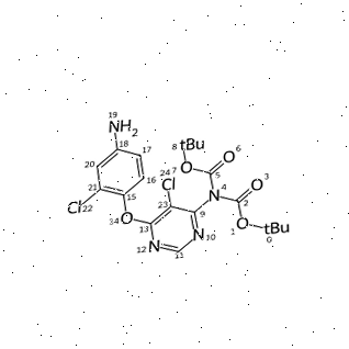 CC(C)(C)OC(=O)N(C(=O)OC(C)(C)C)c1ncnc(Oc2ccc(N)cc2Cl)c1Cl